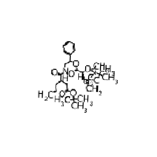 C=CCC(CC(=O)OC(C)(C)C)C(=O)NCC(OC(=O)C(CC=C)O[Si](C)(C)C(C)(C)C)c1ccccc1